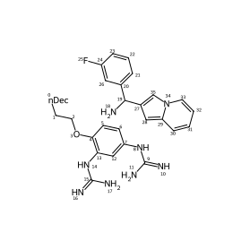 CCCCCCCCCCCCOc1ccc(NC(=N)N)cc1NC(=N)N.NC(c1cccc(F)c1)c1cc2ccccn2c1